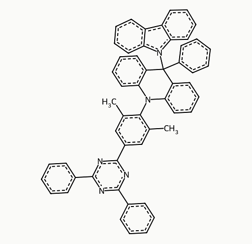 Cc1cc(-c2nc(-c3ccccc3)nc(-c3ccccc3)n2)cc(C)c1N1c2ccccc2C(c2ccccc2)(n2c3ccccc3c3ccccc32)c2ccccc21